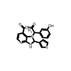 NC(=O)C(c1cccc(O)c1)N1c2c(C(=O)O)ccnc2NC1c1ccsc1